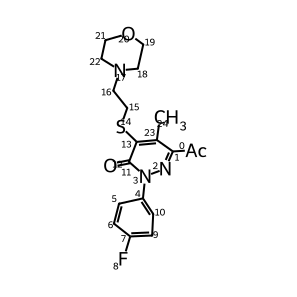 CC(=O)c1nn(-c2ccc(F)cc2)c(=O)c(SCCN2CCOCC2)c1C